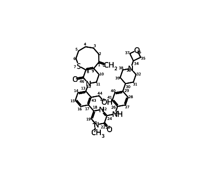 C=C1CCCCCSC2=C1CCN(c1cccc(-c3cn(C)c(=O)c(Nc4ccc(C5CCN(C6COC6)CC5)cc4)n3)c1CO)C2=O